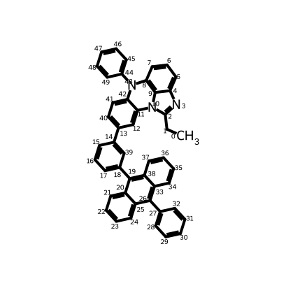 CCc1nc2cccc3c2n1-c1cc(-c2cccc(-c4c5ccccc5c(-c5ccccc5)c5ccccc45)c2)ccc1N3c1ccccc1